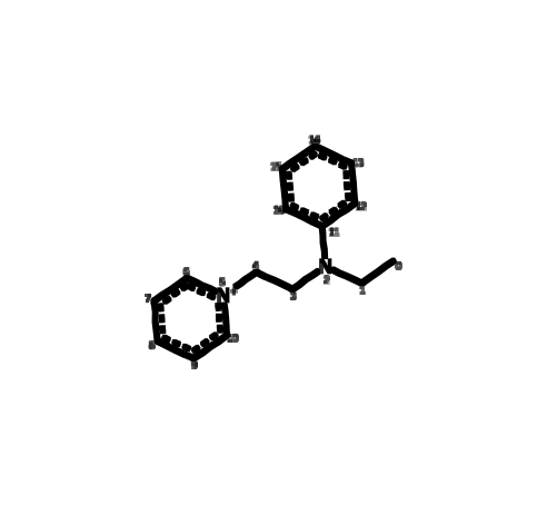 CCN(CC[n+]1ccccc1)c1ccccc1